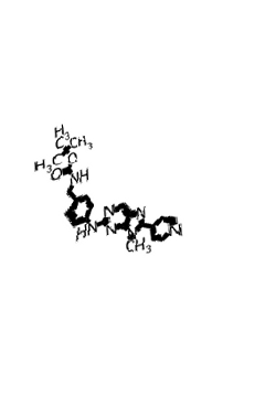 Cn1c(-c2ccncc2)nc2cnc(Nc3ccc(CNC(=O)OC(C)(C)C)cc3)nc21